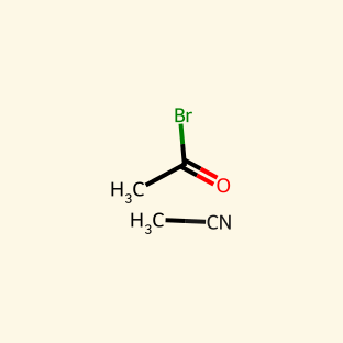 CC#N.CC(=O)Br